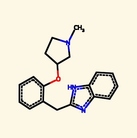 CN1CCC(Oc2ccccc2Cc2nc3ccccc3[nH]2)C1